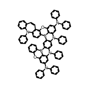 C1=Cc2c(ccc3c2Oc2cc(N(c4ccccc4)c4ccccc4)cc4c2B3c2cc3c(cc2N4c2ccccc2)N(c2ccccc2)c2cc(N(c4ccccc4)c4ccccc4)cc4c2B3c2ccccc2O4)N(c2ccccc2)c2ccccc21